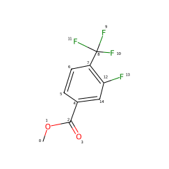 COC(=O)c1ccc(C(F)(F)F)c(F)c1